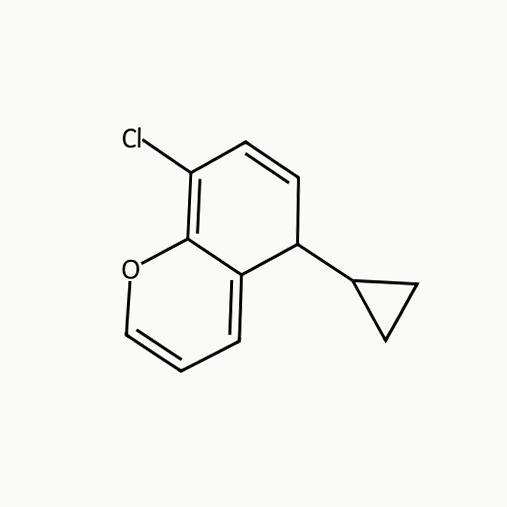 ClC1=C2OC=CC=C2C(C2CC2)C=C1